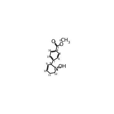 COC(=O)c1ccc(C2C=CCCN2O)cc1